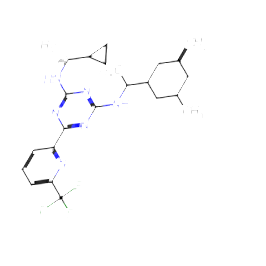 C=C1CC(C)CC(C(C)Nc2nc(N[C@H](C)C3CC3)nc(-c3cccc(C(F)(F)F)n3)n2)C1